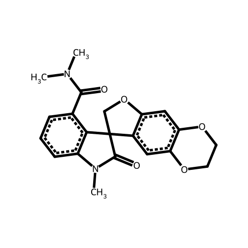 CN(C)C(=O)c1cccc2c1C1(COc3cc4c(cc31)OCCO4)C(=O)N2C